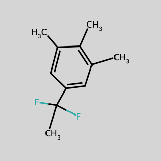 Cc1cc(C(C)(F)F)cc(C)c1C